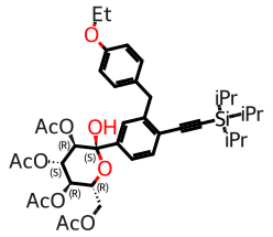 CCOc1ccc(Cc2cc([C@]3(O)O[C@H](COC(C)=O)[C@@H](OC(C)=O)[C@H](OC(C)=O)[C@H]3OC(C)=O)ccc2C#C[Si](C(C)C)(C(C)C)C(C)C)cc1